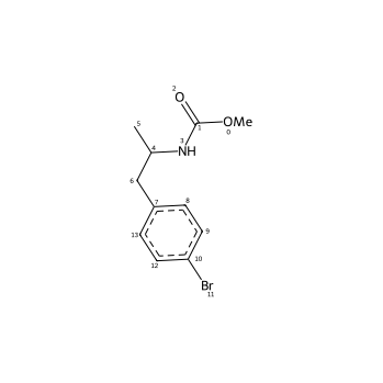 COC(=O)NC(C)Cc1ccc(Br)cc1